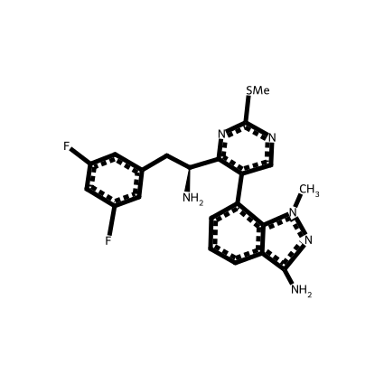 CSc1ncc(-c2cccc3c(N)nn(C)c23)c([C@@H](N)Cc2cc(F)cc(F)c2)n1